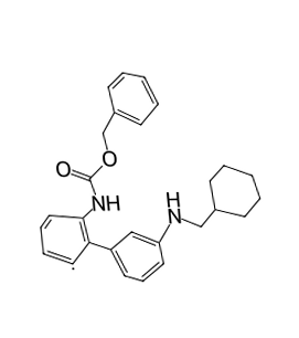 O=C(Nc1ccc[c]c1-c1cccc(NCC2CCCCC2)c1)OCc1ccccc1